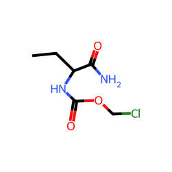 CCC(NC(=O)OCCl)C(N)=O